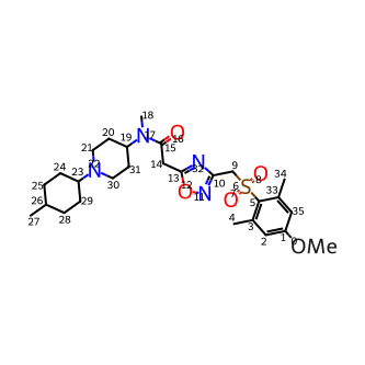 COc1cc(C)c(S(=O)(=O)Cc2noc(CC(=O)N(C)C3CCN(C4CCC(C)CC4)CC3)n2)c(C)c1